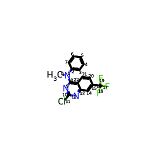 CN(c1ccccc1)c1nc(Cl)nc2cc(C(F)(F)F)ccc12